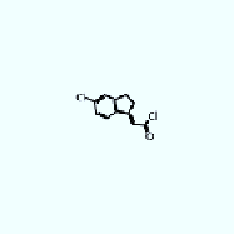 O=C(Cl)C=C1CCc2cc(Cl)ccc21